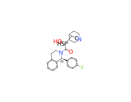 O=C(N1CCc2ccccc2[C@@H]1c1ccc(F)cc1)[Si@@H](O)C1CN2CCC1CC2